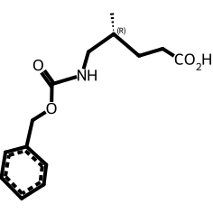 C[C@H](CCC(=O)O)CNC(=O)OCc1ccccc1